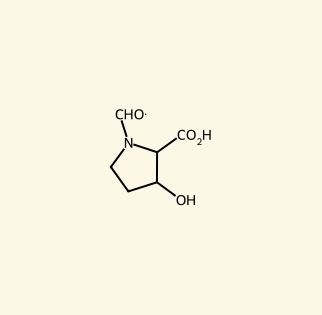 O=[C]N1CCC(O)C1C(=O)O